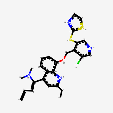 C=C/C=C(/c1cc(CC)nc2c(OCc3c(Cl)cncc3Sc3nccs3)cccc12)N(C)C